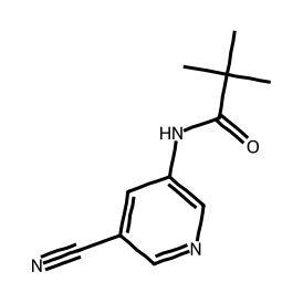 CC(C)(C)C(=O)Nc1cncc(C#N)c1